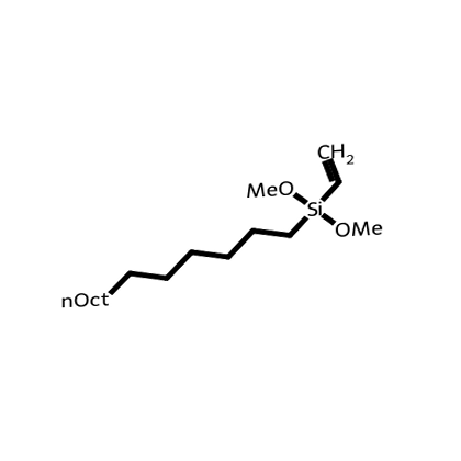 C=C[Si](CCCCCCCCCCCCCC)(OC)OC